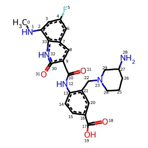 CNc1cc(F)cc2cc(C(=O)Nc3ccc(C(=O)O)cc3CN3CCCC(N)C3)c(=O)[nH]c12